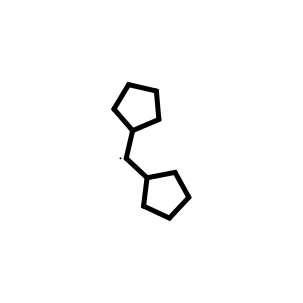 [CH](C1CCCC1)C1CCCC1